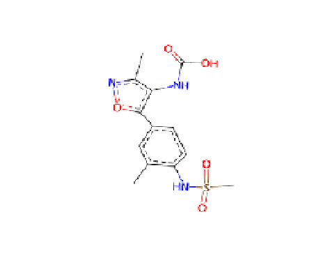 Cc1cc(-c2onc(C)c2NC(=O)O)ccc1NS(C)(=O)=O